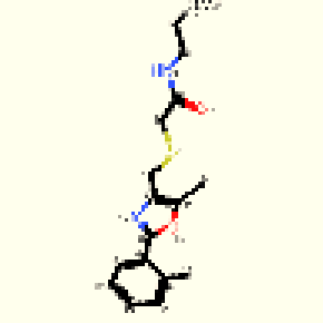 COCCNC(=O)CSCc1nc(-c2ccccc2C)oc1C